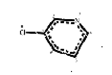 Clc1[c]nc[c]c1